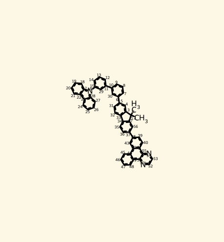 CC1(C)c2cc(-c3cccc(-c4cccc(-n5c6ccccc6c6ccccc65)c4)c3)ccc2-c2ccc(-c3ccc4c(c3)c3ccccc3c3nccnc43)cc21